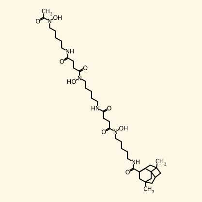 CC(=O)N(O)CCCCCNC(=O)CCC(=O)N(O)CCCCCNC(=O)CCC(=O)N(O)CCCCCNC(=O)C12CC3(C)CC4CC(C)(C1)C4(C3)C2